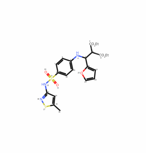 CCOC(=O)C(C(=O)OCC)C(Nc1ccc(S(=O)(=O)Nc2cc(C)sn2)cc1)c1ccco1